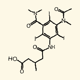 CC(=O)N(C)c1c(I)c(NC(=O)CC(C)CC(=O)O)c(I)c(C(=O)N(C)C)c1I